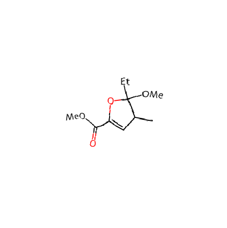 CCC1(OC)OC(C(=O)OC)=CC1C